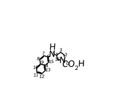 O=C(O)N1CC[C@H](Nc2ccc3ccccc3c2)C1